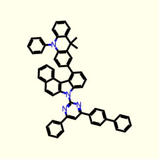 CC1(C)c2ccccc2N(c2ccccc2)c2ccc(-c3cccc4c3c3c5ccccc5ccc3n4-c3nc(-c4ccccc4)cc(-c4ccc(-c5ccccc5)cc4)n3)cc21